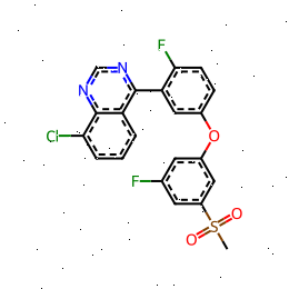 CS(=O)(=O)c1cc(F)cc(Oc2ccc(F)c(-c3ncnc4c(Cl)cccc34)c2)c1